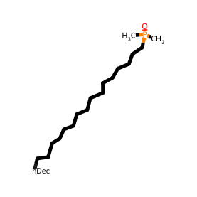 CCCCCCCCCCCCCCCCCCCCCCCCCCP(C)(C)=O